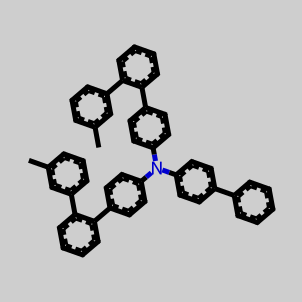 Cc1cccc(-c2ccccc2-c2ccc(N(c3ccc(-c4ccccc4)cc3)c3ccc(-c4ccccc4-c4cccc(C)c4)cc3)cc2)c1